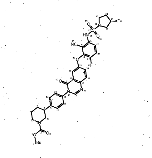 CC(C)(C)OC(=O)N1CCCC(c2ccc(-n3cnc4ccc(Oc5c(F)ccc(NS(=O)(=O)N6CC[C@@H](F)C6)c5C#N)cc4c3=O)cc2)C1